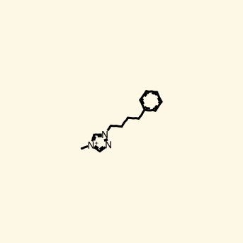 C[n+]1cnn(CCCCc2ccccc2)c1